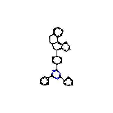 C1=CC2CC(c3ccc(-c4nc(-c5ccccc5)nc(-c5ccccc5)n4)cc3)=c3ccccc3=C2c2ccccc21